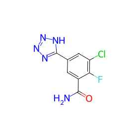 NC(=O)c1cc(-c2nnn[nH]2)cc(Cl)c1F